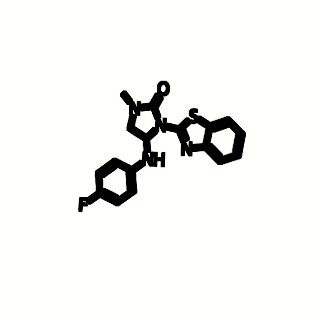 CN1CC(Nc2ccc(F)cc2)N(c2nc3ccccc3s2)C1=O